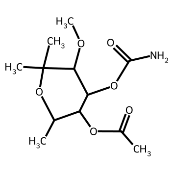 COC1C(OC(N)=O)C(OC(C)=O)C(C)OC1(C)C